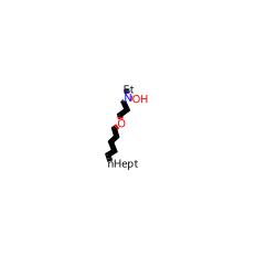 CCCCCCCCCCCCOCCCN(O)CC